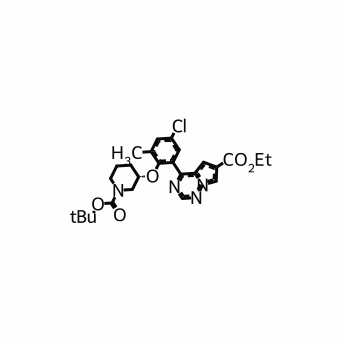 CCOC(=O)c1cc2c(-c3cc(Cl)cc(C)c3O[C@H]3CCCN(C(=O)OC(C)(C)C)C3)ncnn2c1